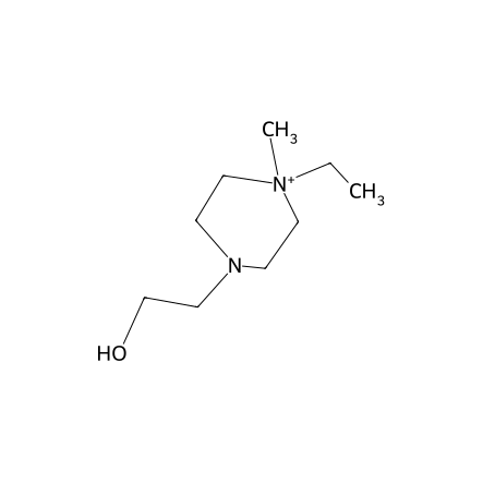 CC[N+]1(C)CCN(CCO)CC1